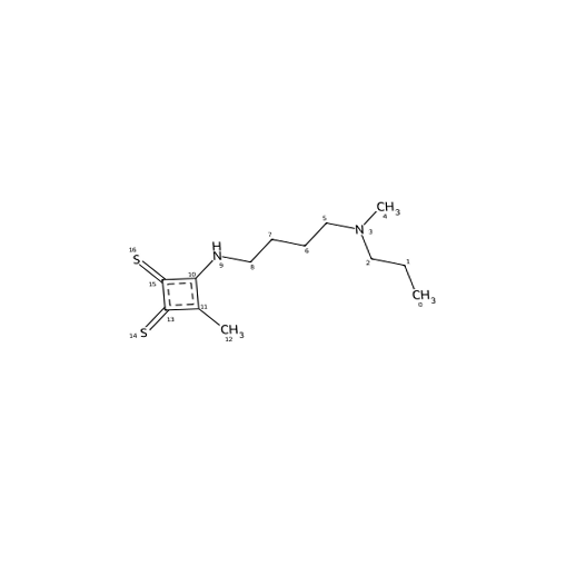 CCCN(C)CCCCNc1c(C)c(=S)c1=S